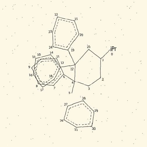 CC(C)C1CCC(C)(c2ccccc2)C(c2ccccc2)(c2ccccc2)C1.c1ccccc1